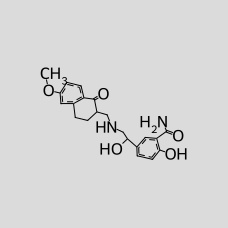 COc1ccc2c(c1)CCC(CNCC(O)c1ccc(O)c(C(N)=O)c1)C2=O